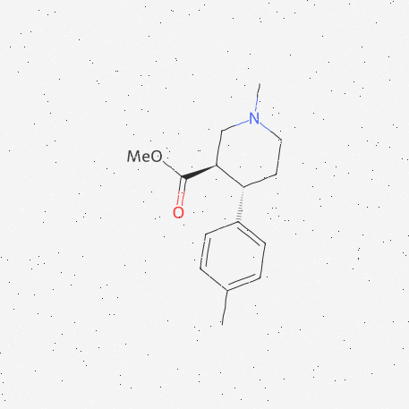 COC(=O)[C@H]1CN(C)CC[C@@H]1c1ccc(C)cc1